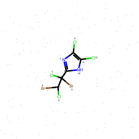 Clc1nc(C(Cl)(Br)C(Cl)Br)[nH]c1Cl